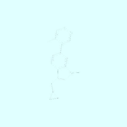 Cc1ccncc1-c1ccc2c(c1)N(C)SN2CC1CC1